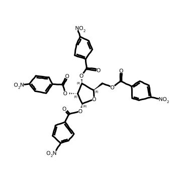 O=C(OC[C@H]1O[C@H](OC(=O)c2ccc([N+](=O)[O-])cc2)[C@H](OC(=O)c2ccc([N+](=O)[O-])cc2)[C@@H]1OC(=O)c1ccc([N+](=O)[O-])cc1)c1ccc([N+](=O)[O-])cc1